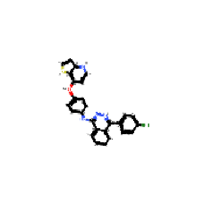 Clc1ccc(-c2nnc(Nc3ccc(Oc4ccnc5ccsc45)cc3)c3ccccc23)cc1